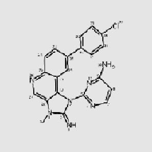 Cn1c(=N)n(-c2nccc(N)n2)c2c3cc(-c4ccc(Cl)cc4)ccc3ncc21